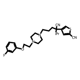 CC(C)C(C#N)(CCCN1CCN(CCOc2cccc(F)c2)CC1)c1csc(C#N)c1